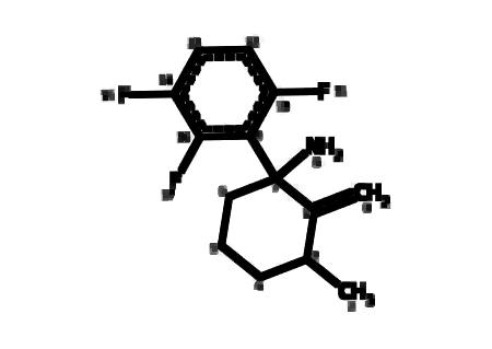 C=C1C(C)CCCC1(N)c1c(F)ccc(F)c1F